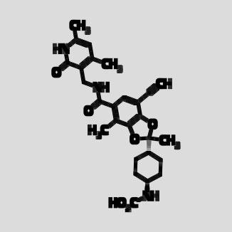 C#Cc1cc(C(=O)NCc2c(C)cc(C)[nH]c2=O)c(C)c2c1OC(C)([C@H]1CC[C@H](NC(=O)O)CC1)O2